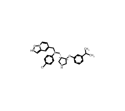 CC(C)c1cccc(O[C@H]2CNC[C@@H]2CN(CC2=CC3=CNON3C=C2)c2ccc(Cl)cc2)c1